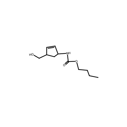 CCCCOC(=O)NC1C=CC(CO)C1